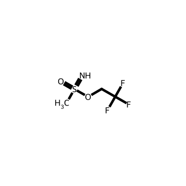 CS(=N)(=O)OCC(F)(F)F